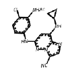 CC(=O)Nc1cc(Nc2cc(NC3CC3)c3ncc(C#N)n3n2)ccc1Cl